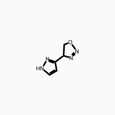 c1cc(C2CON=N2)n[nH]1